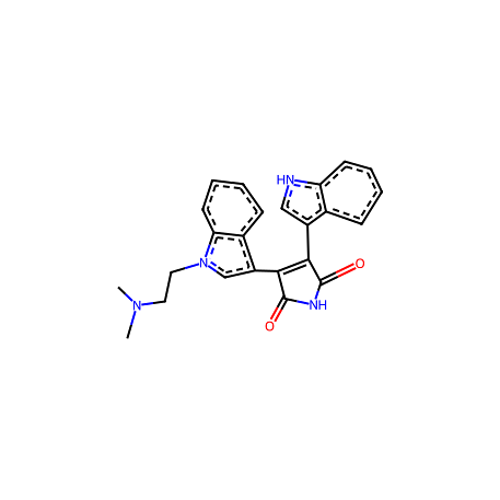 CN(C)CCn1cc(C2=C(c3c[nH]c4ccccc34)C(=O)NC2=O)c2ccccc21